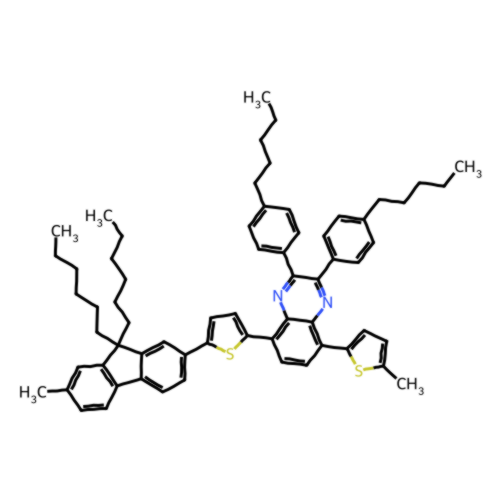 CCCCCCC1(CCCCCC)c2cc(C)ccc2-c2ccc(-c3ccc(-c4ccc(-c5ccc(C)s5)c5nc(-c6ccc(CCCCC)cc6)c(-c6ccc(CCCCC)cc6)nc45)s3)cc21